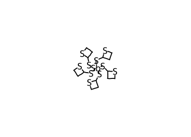 C1CC([S][Sb]([S]C2CCS2)([S]C2CCS2)([S]C2CCS2)[S]C2CCS2)S1